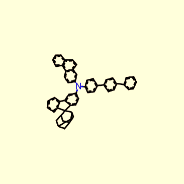 c1ccc(-c2ccc(-c3ccc(N(c4ccc5c(c4)-c4ccccc4C54C5CC6CC(C5)CC4C6)c4ccc5c(ccc6ccccc65)c4)cc3)cc2)cc1